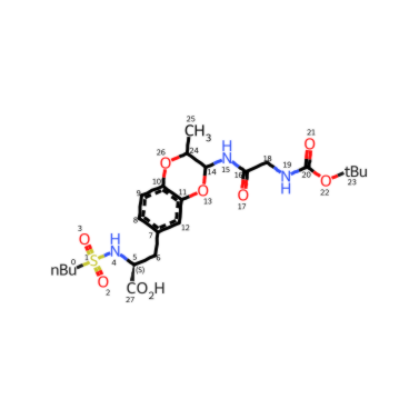 CCCCS(=O)(=O)N[C@@H](Cc1ccc2c(c1)OC(NC(=O)CNC(=O)OC(C)(C)C)C(C)O2)C(=O)O